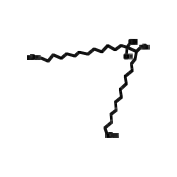 CCCCCCCCCCCCCCCCCCCCCCC(CCCC)C(O)(O)CCCCCCCCCCCCCCCCCCCCCC